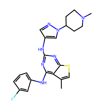 Cc1csc2nc(Nc3cnn(C4CCN(C)CC4)c3)nc(Nc3cccc(F)c3)c12